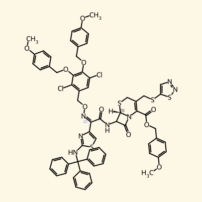 COc1ccc(COC(=O)C2=C(CSc3cnns3)CS[C@H]3C(NC(=O)/C(=N\OCc4cc(Cl)c(OCc5ccc(OC)cc5)c(OCc5ccc(OC)cc5)c4Cl)c4csc(NC(c5ccccc5)(c5ccccc5)c5ccccc5)n4)C(=O)N23)cc1